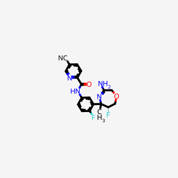 CC1(c2cc(NC(=O)c3ccc(C#N)cn3)ccc2F)N=C(N)COC[C@@H]1F